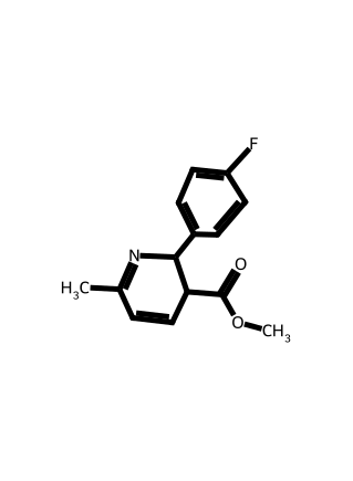 COC(=O)C1C=CC(C)=NC1c1ccc(F)cc1